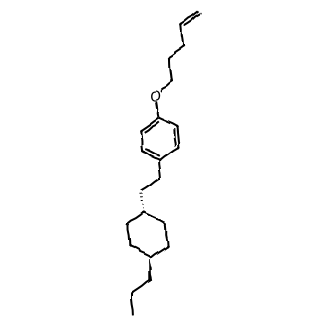 C=CCCCOc1ccc(CC[C@H]2CC[C@H](CCC)CC2)cc1